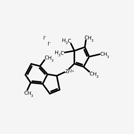 CC1=C(C)C(C)(C)[C]([Zr+2][CH]2C=Cc3c(C)ccc(C)c32)=C1C.[I-].[I-]